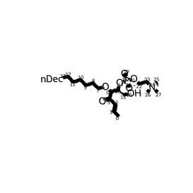 CC=CC(=O)C(OCCCCCCCCCCCCCCCC)[C@H](CO)OP(=O)([O-])OCC[N+](C)(C)C